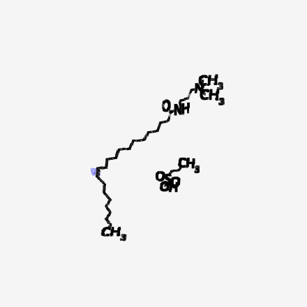 CCCCCCCC/C=C\CCCCCCCCCCCC(=O)NCCCN(C)C.CCCS(=O)(=O)O